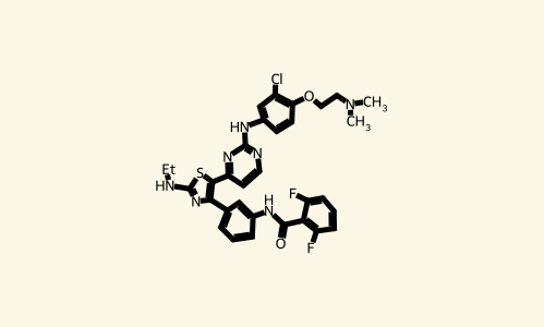 CCNc1nc(-c2cccc(NC(=O)c3c(F)cccc3F)c2)c(-c2ccnc(Nc3ccc(OCCN(C)C)c(Cl)c3)n2)s1